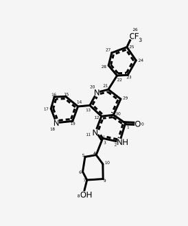 O=c1[nH]c(C2CCC(O)CC2)nc2c(-c3cccnc3)nc(-c3ccc(C(F)(F)F)cc3)cc12